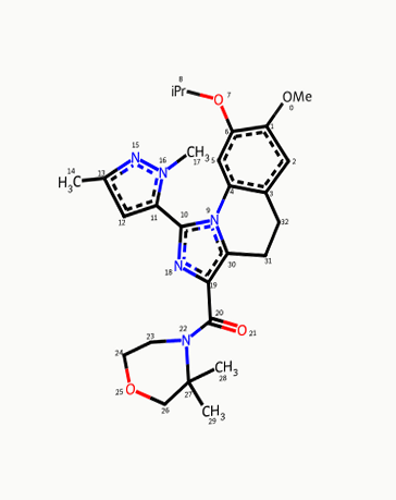 COc1cc2c(cc1OC(C)C)-n1c(-c3cc(C)nn3C)nc(C(=O)N3CCOCC3(C)C)c1CC2